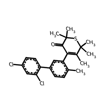 CC1=C(c2cc(-c3ccc(Cl)cc3Cl)ccc2C)C(=O)C(C)(C)SC1(C)C